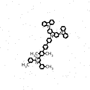 Cc1cccc(-c2cc(-c3cc(C)c(-c4ccc(-c5ccc(-n6c7ccc(-n8c9ccccc9c9ccccc98)cc7c7cc(-n8c9ccccc9c9ccccc98)ccc76)cc5)cc4)cc3C)nc(-c3cccc(C)c3)n2)c1